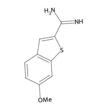 COc1ccc2cc(C(=N)N)sc2c1